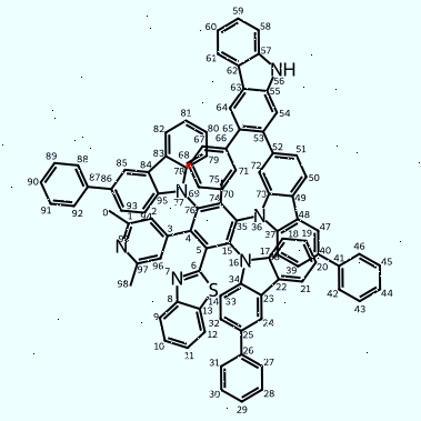 Cc1cc(-c2c(-c3nc4ccccc4s3)c(-n3c4ccccc4c4cc(-c5ccccc5)ccc43)c(-n3c4ccc(-c5ccccc5)cc4c4ccc(-c5cc6[nH]c7ccccc7c6cc5-c5ccccc5)cc43)c(C)c2-n2c3ccccc3c3cc(-c4ccccc4)ccc32)cc(C)n1